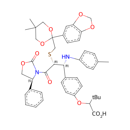 Cc1ccc(N[C@H](c2ccc(OC(C(=O)O)C(C)(C)C)cc2)[C@@H](SCC2(c3ccc4c(c3)OCO4)OCC(C)(C)CO2)C(=O)N2C(=O)OC[C@@H]2c2ccccc2)cc1